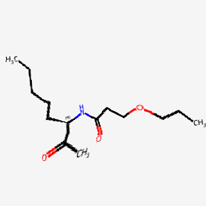 CCCCC[C@@H](NC(=O)CCOCCC)C(C)=O